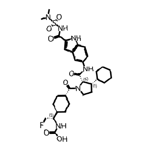 CN(C)S(=O)(=O)NC(=O)c1cc2cc(NC(=O)[C@@H]3[C@H](C4CCCCC4)CCN3C(=O)[C@H]3CC[C@H]([C@@H](CF)NC(=O)O)CC3)ccc2[nH]1